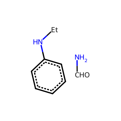 CCNc1ccccc1.NC=O